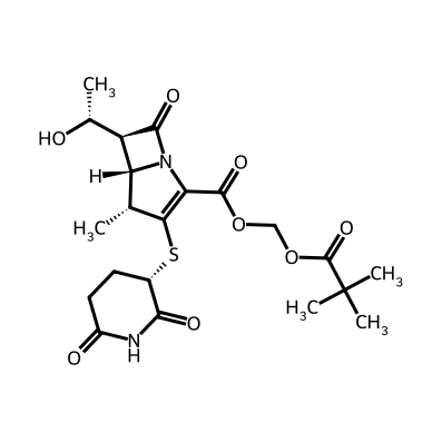 C[C@@H](O)[C@H]1C(=O)N2C(C(=O)OCOC(=O)C(C)(C)C)=C(S[C@H]3CCC(=O)NC3=O)[C@H](C)[C@H]12